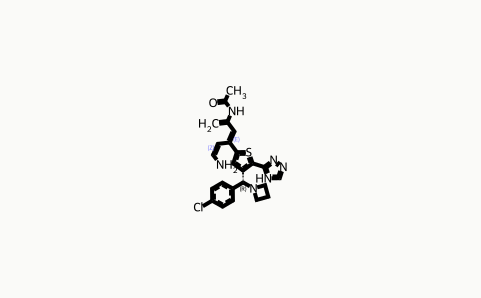 C=C(/C=C(\C=C/N)c1cc([C@@H](c2ccc(Cl)cc2)N2CCC2)c(-c2nnc[nH]2)s1)NC(C)=O